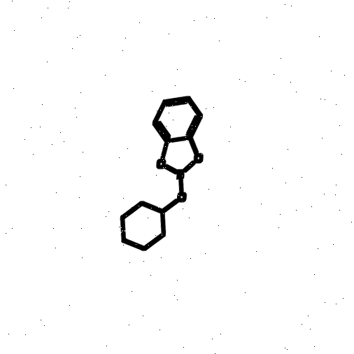 c1ccc2c(c1)OB(OC1CCCCC1)O2